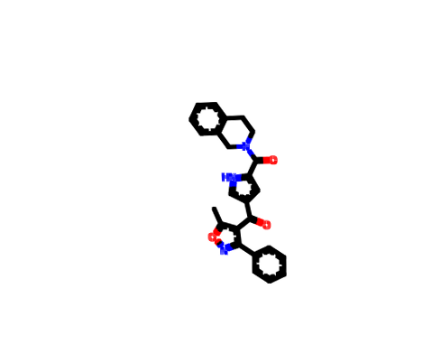 Cc1onc(-c2ccccc2)c1C(=O)c1c[nH]c(C(=O)N2CCc3ccccc3C2)c1